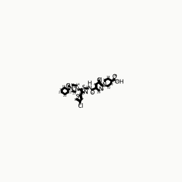 O=C(Nc1nc(-c2cc(Cl)cs2)c(N2CC[N+]([O-])(C3CCCCC3)CC2)s1)c1cnc(N2CCC(C(=O)O)CC2)c(Cl)c1